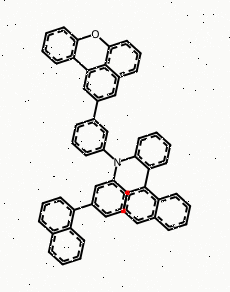 c1cc(-c2cc3c4c(cccc4c2)Oc2ccccc2-3)cc(N(c2cccc(-c3cccc4ccccc34)c2)c2ccccc2-c2cccc3ccccc23)c1